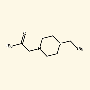 CC(C)(C)CN1CCN(CC(=O)C(C)(C)C)CC1